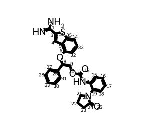 N=C(N)c1cc2c(OC(COC(=O)Nc3ccccc3N3CCCC3=O)c3ccccc3)cccc2s1